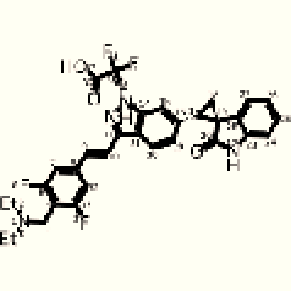 CCN(CC)Cc1c(F)cc(C=Cc2n[nH]c3cc([C@@H]4C[C@@]45C(=O)Nc4ccccc45)ccc23)cc1F.O=C(O)C(F)(F)F